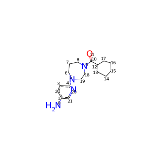 Nc1ccc(N2CCCN(C(=O)C3CCCCC3)CC2)nc1